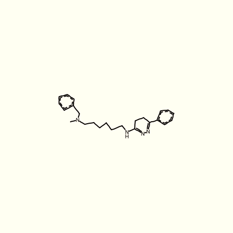 CN(CCCCCCNC1=NN=C(c2ccccc2)CC1)Cc1ccccc1